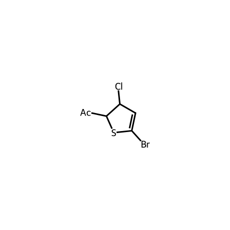 CC(=O)C1SC(Br)=CC1Cl